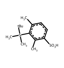 Cc1ccc(S(=O)(=O)O)c(C)c1[Si](C)(C)C(C)(C)C